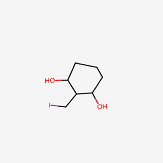 OC1CCCC(O)C1CI